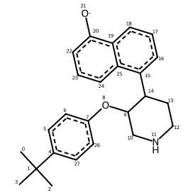 CC(C)(C)c1ccc(OC2CNCCC2c2cccc3c([O])cccc23)cc1